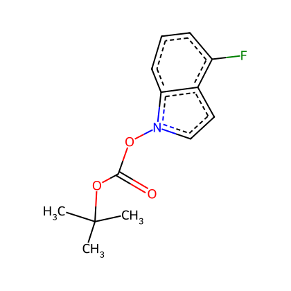 CC(C)(C)OC(=O)On1ccc2c(F)cccc21